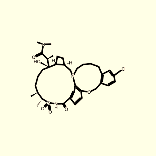 C[C@H](C(=O)N(C)C)[C@@]1(O)CCC[C@H](C)[C@@H](C)S(=O)(=O)NC(=O)c2ccc3c(c2)N(CCCCc2cc(Cl)ccc2CO3)C[C@@H]2CC[C@H]21